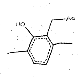 CC(=O)Cc1c(C)ccc(C)c1O